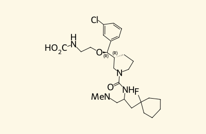 CNCC(CC1(F)CCCCC1)NC(=O)N1CCC[C@@H]([C@@H](OCCNC(=O)O)c2cccc(Cl)c2)C1